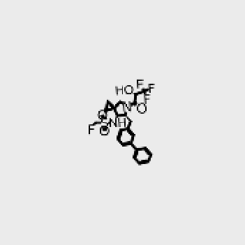 O=C([C@H](O)C(F)(F)F)N1CC2(CC2)[C@H](NS(=O)(=O)CF)[C@@H]1Cc1cccc(-c2ccccc2)c1